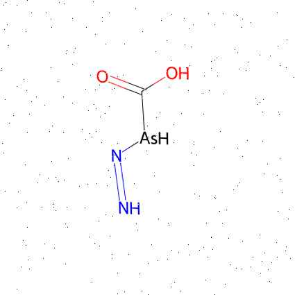 N=N[AsH]C(=O)O